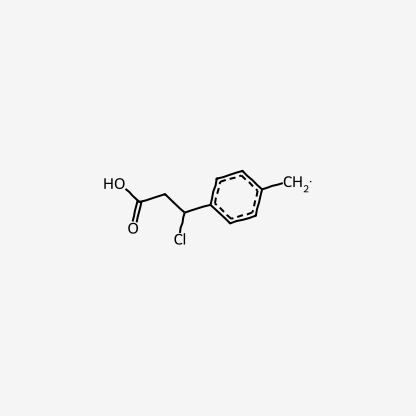 [CH2]c1ccc(C(Cl)CC(=O)O)cc1